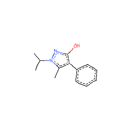 Cc1c(-c2ccccc2)c(O)nn1C(C)C